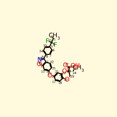 CCC(F)(F)c1ccc(-c2noc3cc(Oc4ccc5c(c4)O[C@@](CC)(C(=O)O)CO5)ccc23)cc1